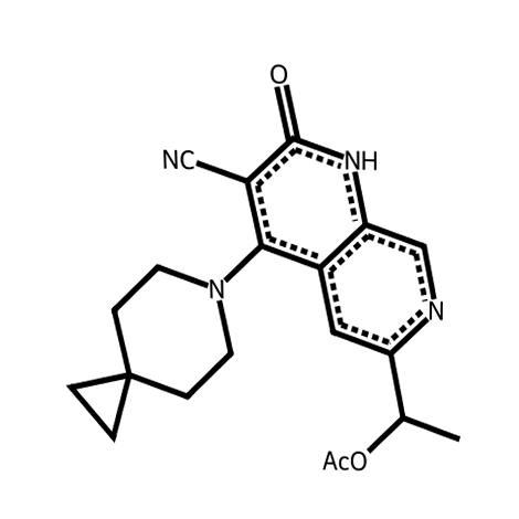 CC(=O)OC(C)c1cc2c(N3CCC4(CC3)CC4)c(C#N)c(=O)[nH]c2cn1